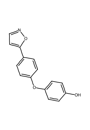 Oc1ccc(Oc2ccc(-c3ccno3)cc2)cc1